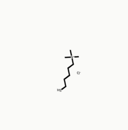 C[N+](C)(C)CCCCCS.[Cl-]